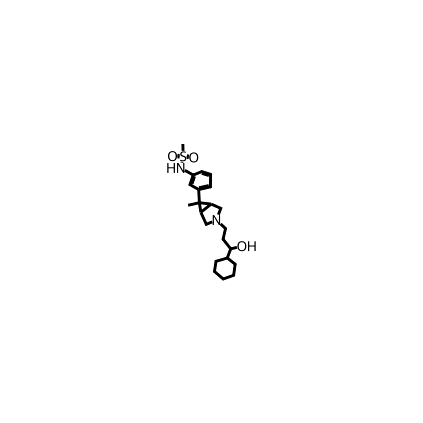 CC1(c2cccc(NS(C)(=O)=O)c2)C2CN(CCC(O)C3CCCCC3)CC21